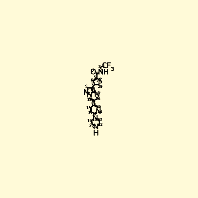 O=C(NCC(F)(F)F)C1=CC(c2cnn3cc(-c4ccc(N5CCNCC5)nc4)cnc23)CS1